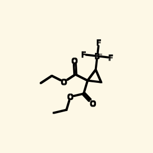 CCOC(=O)C1(C(=O)OCC)CC1[B-](F)(F)F